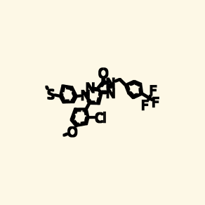 COc1ccc(-c2cc3nn(Cc4ccc(C(F)(F)F)cc4)c(=O)c-3nn2-c2ccc(SC)cc2)c(Cl)c1